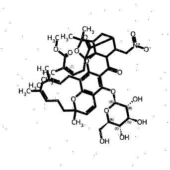 COC(=O)/C(C)=C\CC12OC(C)(C)C3CC(C1=O)C(C[N+](=O)[O-])C1C(=O)c4c(O[C@@H]5O[C@H](CO)[C@@H](O)[C@H](O)[C@H]5O)c5c(c(CC=C(C)C)c4OC132)OC(C)(CCC=C(C)C)C=C5